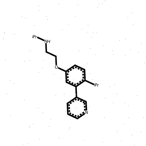 CC(C)NCCOc1ccc(C(C)C)c(-c2cccnc2)c1